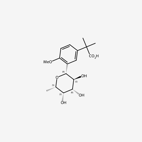 COc1ccc(C(C)(C)C(=O)O)cc1[C@H]1O[C@@H](C)[C@@H](O)[C@@H](O)[C@@H]1O